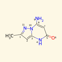 Cc1cc2[nH]c(=O)cc(N)n2n1